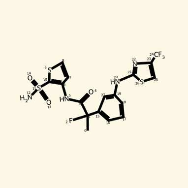 CC(F)(C(=O)Nc1ccsc1S(N)(=O)=O)c1cccc(Nc2nc(C(F)(F)F)cs2)c1